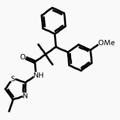 COc1cccc(C(c2ccccc2)C(C)(C)C(=O)Nc2nc(C)cs2)c1